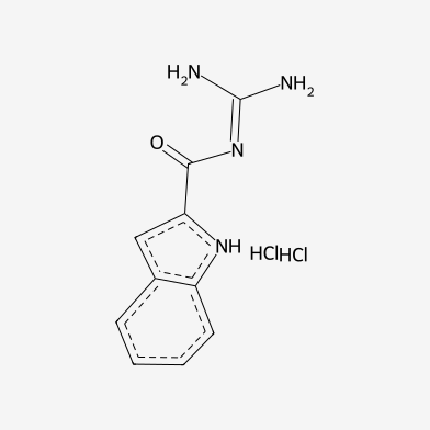 Cl.Cl.NC(N)=NC(=O)c1cc2ccccc2[nH]1